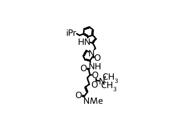 CNC(=O)/C=C/CCC(OC(=O)N(C)C)C(=O)Nc1cccn(Cc2cc3cccc(CC(C)C)c3[nH]2)c1=O